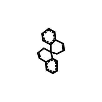 C1=Cc2ccccc2C2(C1)CC=Cc1ccccc12